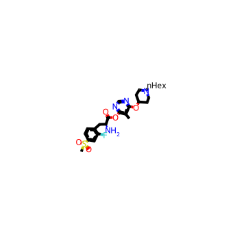 CCCCCCN1CCC(Oc2ncnc(OC(=O)[C@@H](N)Cc3ccc(S(C)(=O)=O)cc3F)c2C)CC1